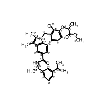 COC(=O)C(C)Oc1cccc(Cn2c(C)c(C)c3cc(C(=O)N[C@@H](C)c4cccc(C(C)C)c4)ccc32)c1Cl